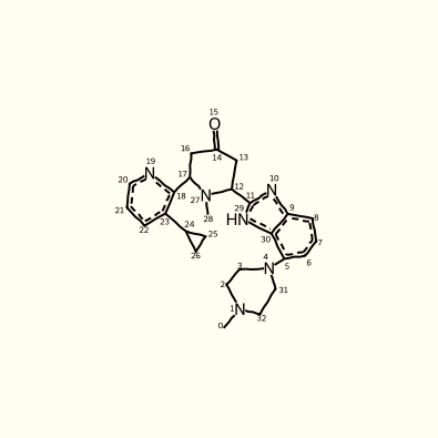 CN1CCN(c2cccc3nc(C4CC(=O)CC(c5ncccc5C5CC5)N4C)[nH]c23)CC1